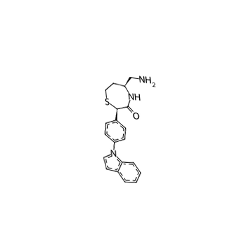 NC[C@@H]1CCS[C@H](c2ccc(-n3ccc4ccccc43)cc2)C(=O)N1